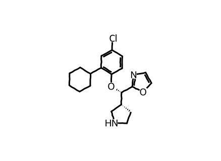 Clc1ccc(O[C@H](c2ncco2)[C@@H]2CCNC2)c(C2CCCCC2)c1